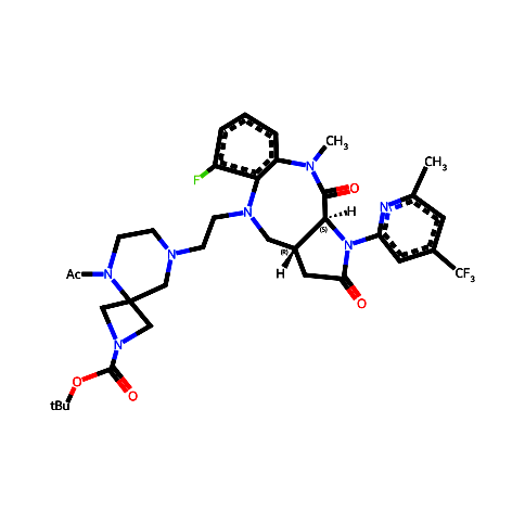 CC(=O)N1CCN(CCN2C[C@H]3CC(=O)N(c4cc(C(F)(F)F)cc(C)n4)[C@@H]3C(=O)N(C)c3cccc(F)c32)CC12CN(C(=O)OC(C)(C)C)C2